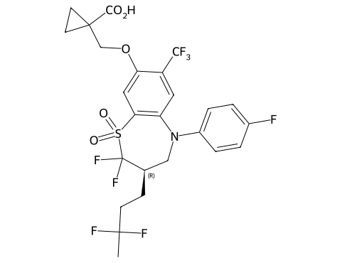 CC(F)(F)CC[C@@H]1CN(c2ccc(F)cc2)c2cc(C(F)(F)F)c(OCC3(C(=O)O)CC3)cc2S(=O)(=O)C1(F)F